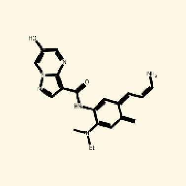 C=c1cc(N(C)CC)c(NC(=O)c2cnn3cc(O)cnc23)c/c1=C/C=C\N